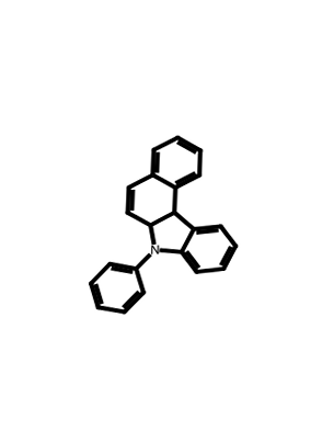 C1=CC2C(c3ccccc31)c1ccccc1N2c1ccccc1